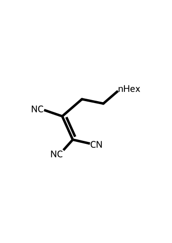 CCCCCCCCC(C#N)=C(C#N)C#N